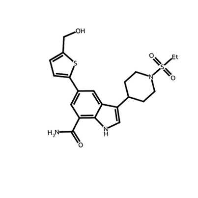 CCS(=O)(=O)N1CCC(c2c[nH]c3c(C(N)=O)cc(-c4ccc(CO)s4)cc23)CC1